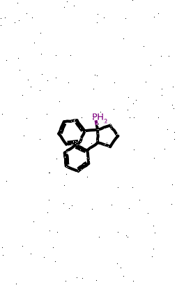 PC1(c2ccccc2)CCCC1c1ccccc1